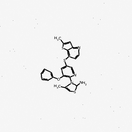 CC1=CSC(N)N1c1ncc(Sc2ccnc3cc(C)sc23)cc1Oc1ccccc1